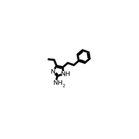 CCc1nc(N)[nH]c1CCc1ccccc1